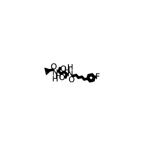 O=C(CCCCc1ccc(F)cc1)N[C@H]1CO[C@H]2[C@@H]1OC[C@@H]2NC(=O)C1CC1